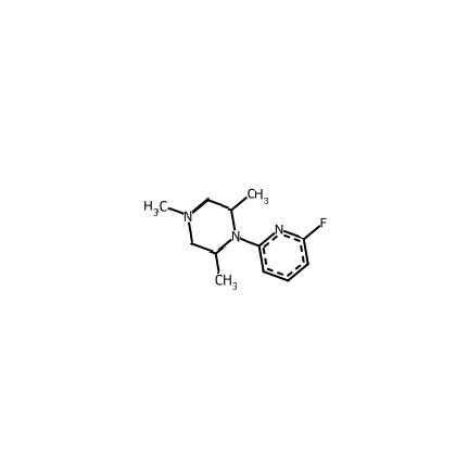 CC1CN(C)CC(C)N1c1cccc(F)n1